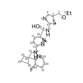 CCOCc1cnc(NC(O)c2ccc(NCC3(c4ncccc4F)CCC3)nn2)s1